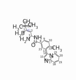 B/C(=C\C(N)NC(=O)c1ccc(C)c(-c2cnc3ccccn23)c1)C(C)(C)C